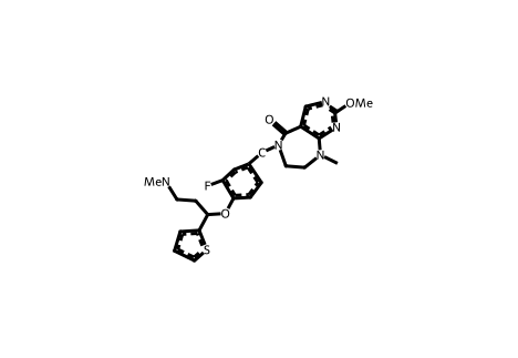 CNCCC(Oc1ccc(CN2CCN(C)c3nc(OC)ncc3C2=O)cc1F)c1cccs1